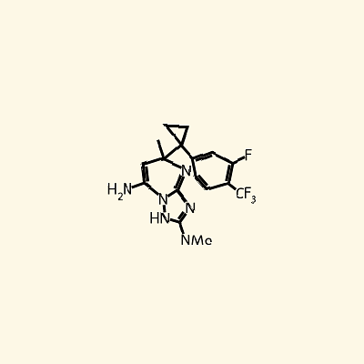 CNC1=NC2=NC(C)(C3(c4ccc(C(F)(F)F)c(F)c4)CC3)C=C(N)N2N1